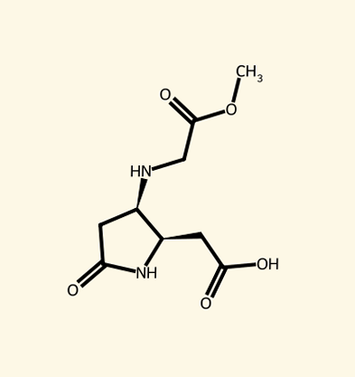 COC(=O)CN[C@@H]1CC(=O)N[C@@H]1CC(=O)O